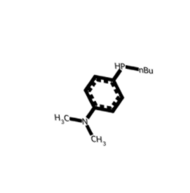 CCCCPc1ccc(N(C)C)cc1